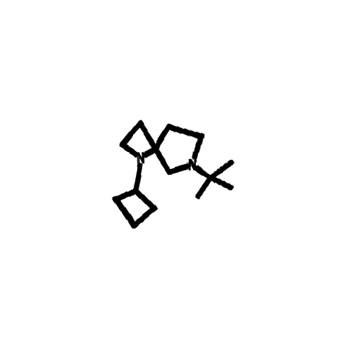 CC(C)(C)N1CCC2(CCN2C2CCC2)C1